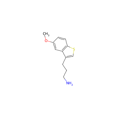 COc1ccc2scc(CCCN)c2c1